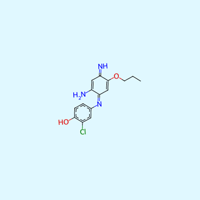 CCCOC1=C/C(=N/c2ccc(O)c(Cl)c2)C(N)=CC1=N